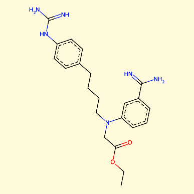 CCOC(=O)CN(CCCCc1ccc(NC(=N)N)cc1)c1cccc(C(=N)N)c1